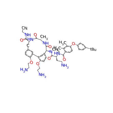 Cc1c(Oc2ccc(C(C)(C)C)cc2)ccc(C(=O)N[C@@H](CCN)C(=O)N(C)[C@@H]2C(=O)N[C@@H](C)C(=O)N[C@H](C(=O)NCC#N)Cc3ccc(OCCN)c(c3)-c3cc2ccc3OCCN)c1C